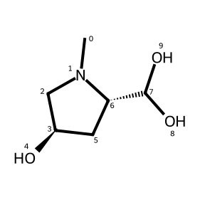 CN1C[C@H](O)C[C@H]1C(O)O